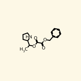 CC(OC(=O)C(=O)OCc1ccccc1)C1CCCN1